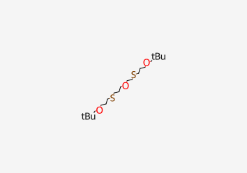 CC(C)(C)COCCCSCCCOCCSCCCOCC(C)(C)C